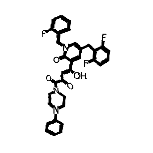 O=C(C=C(O)c1cc(Cc2c(F)cccc2F)cn(Cc2ccccc2F)c1=O)C(=O)N1CCN(c2ccccc2)CC1